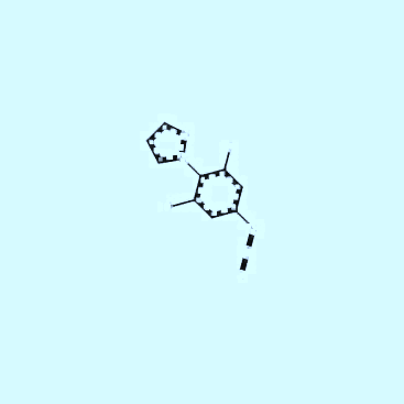 S=C=Nc1cc(Cl)c(-n2cccn2)c(Cl)c1